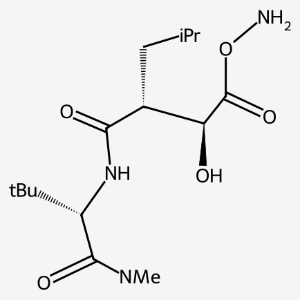 CNC(=O)[C@@H](NC(=O)[C@H](CC(C)C)[C@H](O)C(=O)ON)C(C)(C)C